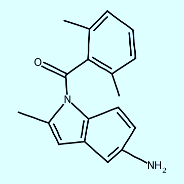 Cc1cccc(C)c1C(=O)n1c(C)cc2cc(N)ccc21